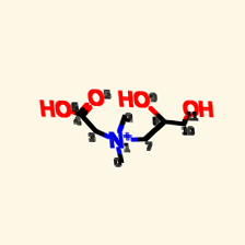 C[N+](C)(CC(=O)O)CC(O)CO